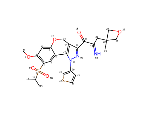 COc1cc2c(cc1S(=O)(=O)C(C)C)-c1c(c(C(=O)C(=N)CC3(C)COC3)nn1-c1ccsc1)CO2